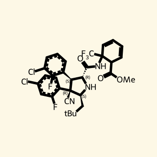 COC(=O)C1C=CC=CC1(NC(=O)[C@@H]1N[C@@H](CC(C)(C)C)[C@](C#N)(c2ccc(Cl)cc2F)[C@H]1c1cccc(Cl)c1F)C(F)(F)F